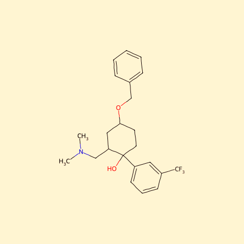 CN(C)CC1CC(OCc2ccccc2)CCC1(O)c1cccc(C(F)(F)F)c1